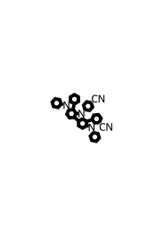 N#Cc1ccc(-n2c3c(ccc4c3c3ccccc3n4-c3ccccc3)c3ccc4c(c5cccc(C#N)c5n4-c4ccccc4)c32)cc1